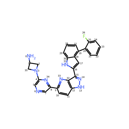 NC1CN(c2cncc(-c3ccc4[nH]nc(-c5cc6c(-c7ccccc7F)cccc6[nH]5)c4n3)n2)C1